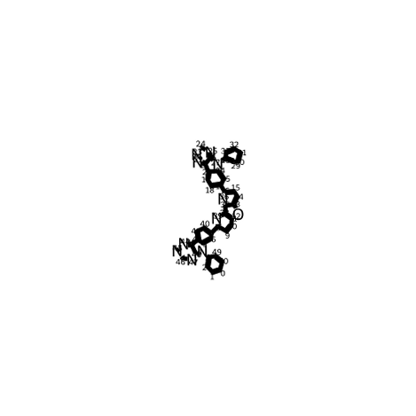 c1ccc(-n2c3cc(-c4ccc5oc6ccc(-c7ccc8c9nncnc9n(-c9ccccc9)c8c7)nc6c5n4)ccc3c3nncnc32)cc1